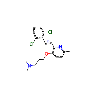 Cc1ccc(OCCCN(C)C)c(/C=C/c2c(Cl)cccc2Cl)n1